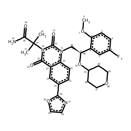 COc1ccc(F)cc1[C@H](Cn1c(=O)n(C(C)(C)C(N)=O)c(=O)c2cc(-c3ncco3)ccc21)OC1CCOCC1